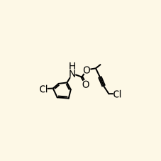 CC(C#CCCl)OC(=O)Nc1cccc(Cl)c1